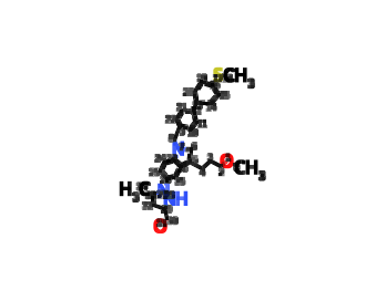 COCCCc1cn(Cc2ccc(-c3ccc(SC)cc3)cc2)c2ccc(N3NC(C=O)C=C3C)cc12